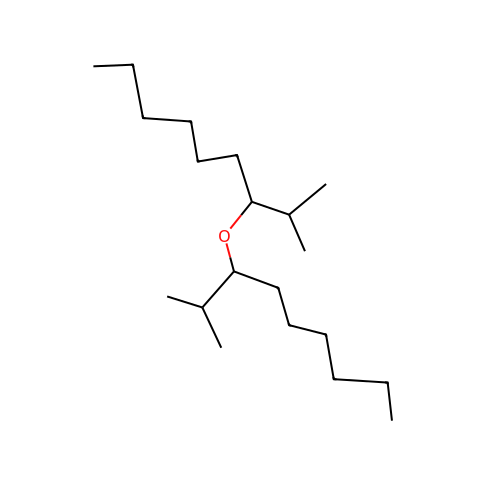 CCCCCCC(OC(CCCCCC)C(C)C)C(C)C